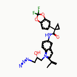 C=C(C)c1cc2cc(NC(=O)C3(c4ccc5c(c4)OC(F)(F)O5)CC3)ccc2n1C[C@@H](O)CN=[N+]=[N-]